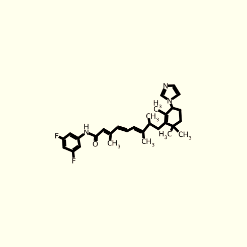 CC1=C(CC(C)/C(C)=C/C=C/C(C)=C/C(=O)Nc2cc(F)cc(F)c2)C(C)(C)CCC1n1ccnc1